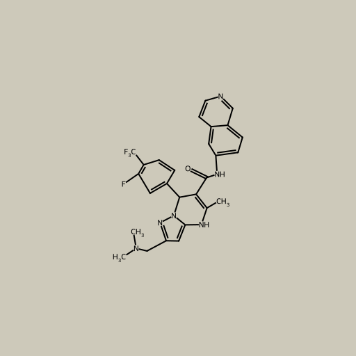 CC1=C(C(=O)Nc2ccc3cnccc3c2)C(c2ccc(C(F)(F)F)c(F)c2)n2nc(CN(C)C)cc2N1